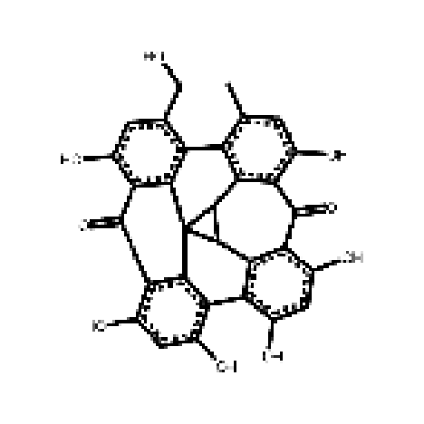 Cc1cc(O)c2c3c1-c1c(CO)cc(O)c4c1C15c6c(c(O)cc(O)c6-c6c(O)cc(O)c(c6C1C35)C2=O)C4=O